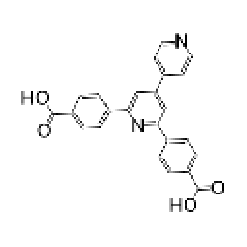 O=C(O)c1ccc(-c2cc(-c3ccncc3)cc(-c3ccc(C(=O)O)cc3)n2)cc1